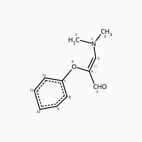 CN(C)/C=C(/C=O)Oc1ccccc1